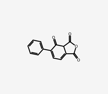 O=C1OC(=O)C2C(=O)C(c3ccccc3)=CC=C12